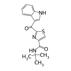 CC(C)(C)NC(=O)c1csc(C(=O)c2c[nH]c3ccccc23)n1